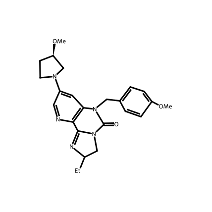 CCC1CN2C(=O)N(Cc3ccc(OC)cc3)c3cc(N4CC[C@@H](OC)C4)cnc3C2=N1